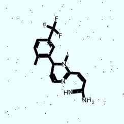 Cc1ccc(C(F)(F)F)cc1C1C#CN=C(/C=C\C(=N)N)N1I